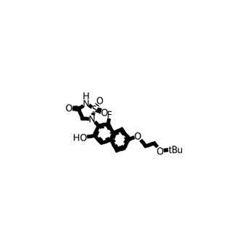 CC(C)(C)OCCOc1ccc2cc(O)c(N3CC(=O)NS3(=O)=O)c(F)c2c1